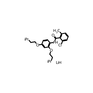 Cc1cccc(Cl)c1C(=O)Pc1ccc(OCCC(C)C)cc1OCCC(C)C.[LiH]